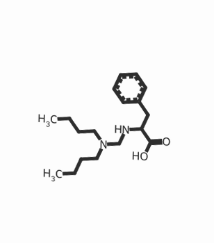 CCCCN(CCCC)CNC(Cc1ccccc1)C(=O)O